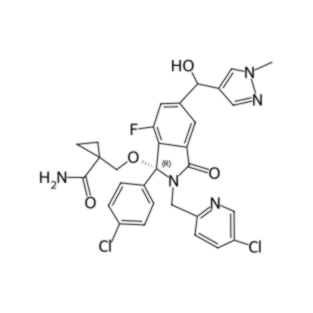 Cn1cc(C(O)c2cc(F)c3c(c2)C(=O)N(Cc2ccc(Cl)cn2)[C@@]3(OCC2(C(N)=O)CC2)c2ccc(Cl)cc2)cn1